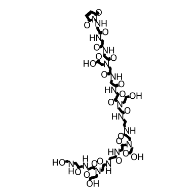 O=C(O)CN(CC(=O)NCCNC(=O)CN(CC(=O)O)C(=O)CNC(=O)CNC(=O)CN(CC(=O)O)C(=O)CNC(=O)CNC(=O)CNN1C(=O)C=CC1=O)C(=O)CNC(=O)CNC(=O)CN(CC(=O)O)C(=O)CNC(=O)CNCO